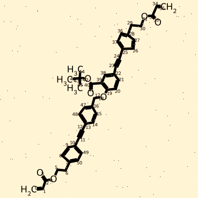 C=CC(=O)OCCc1ccc(C#Cc2ccc(COc3ccc(C#Cc4ccc(CCOC(=O)C=C)cc4)cc3C(=O)OC(C)(C)C)cc2)cc1